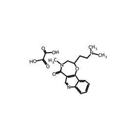 CN(C)CCC1CN(C)C(=O)c2cnc3ccccc3c2O1.O=C(O)C(=O)O